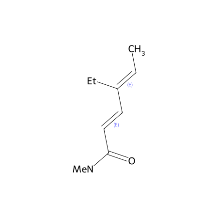 C/C=C(/C=C/C(=O)NC)CC